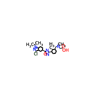 Cc1c(CN(C)CC(=O)O)cccc1-c1noc(-c2ccc3c(c2)c(Cl)nn3C(C)C)n1